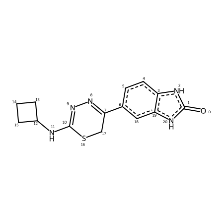 O=c1[nH]c2ccc(C3=NN=C(NC4CCC4)SC3)cc2[nH]1